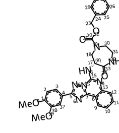 COc1ccc(-c2nc3c4ccccc4nc(N[C@@H]4CN(C(=O)OCc5ccccc5)CCNC4=O)n3n2)cc1OC